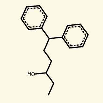 CCC(O)CCC(c1ccccc1)c1ccccc1